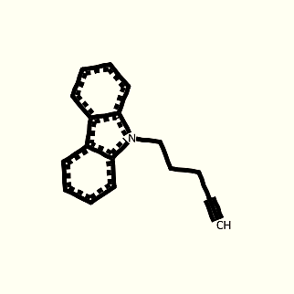 C#CCCCn1c2ccccc2c2ccccc21